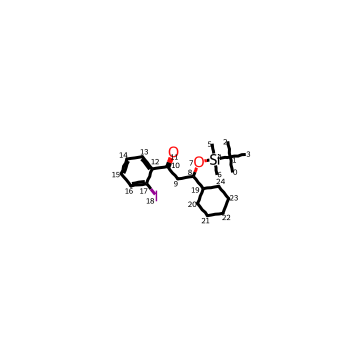 CC(C)(C)[Si](C)(C)OC(CC(=O)c1ccccc1I)C1CCCCC1